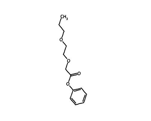 CCCOCCOCC(=O)Oc1ccccc1